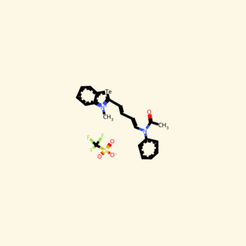 CC(=O)N(C=CC=Cc1[te]c2ccccc2[n+]1C)c1ccccc1.O=S(=O)([O-])C(F)(F)F